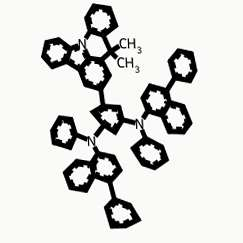 CC1(C)c2ccccc2-n2c3ccccc3c3cc(-c4cc(N(c5ccccc5)c5ccc(-c6ccccc6)c6ccccc56)cc(N(c5ccccc5)c5ccc(-c6ccccc6)c6ccccc56)c4)cc1c32